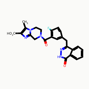 Cc1c(C(=O)O)nc2n1CCN(C(=O)c1cc(Cc3n[nH]c(=O)c4ccccc34)ccc1F)C2